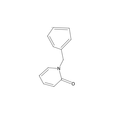 O=c1ccccn1Cc1cc[c]cc1